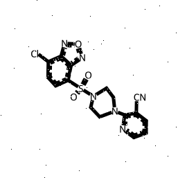 N#Cc1cccnc1N1CCN(S(=O)(=O)c2ccc(Cl)c3nonc23)CC1